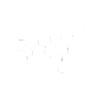 COc1cc(NC(C(=O)N2CC3(CC3)c3ccc(OC(F)(F)F)cc32)c2ccc(Cl)cc2)cc(C(C)=NOCCC(=O)O)c1